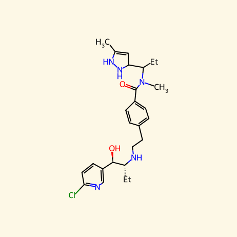 CCC(C1C=C(C)NN1)N(C)C(=O)c1ccc(CCN[C@H](CC)[C@H](O)c2ccc(Cl)nc2)cc1